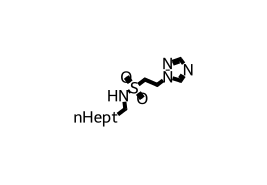 CCCCCCCCNS(=O)(=O)CCn1cncn1